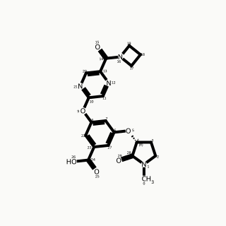 CN1CC[C@@H](Oc2cc(Oc3cnc(C(=O)N4CCC4)cn3)cc(C(=O)O)c2)C1=O